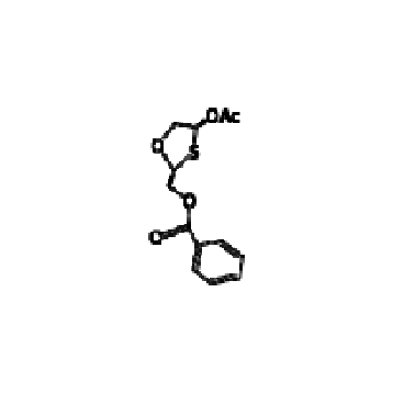 CC(=O)O[C@@H]1CO[C@H](COC(=O)c2ccccc2)S1